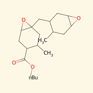 CCCCOC(=O)C1CC2OC2(CC2CC3OC3CC2C)CC1C